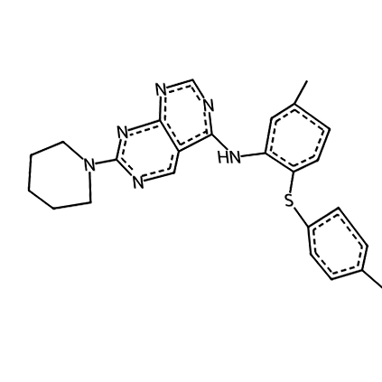 Cc1ccc(Sc2ccc(O)cc2)c(Nc2ncnc3nc(N4CCCCC4)ncc23)c1